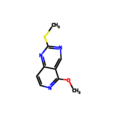 COc1nccc2nc(SC)ncc12